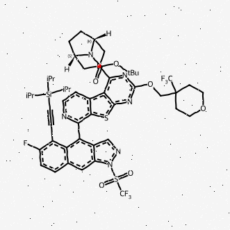 CC(C)[Si](C#Cc1c(F)ccc2cc3c(cnn3S(=O)(=O)C(F)(F)F)c(-c3nccc4c3sc3nc(OCC5(C(F)(F)F)CCOCC5)nc(N5C[C@H]6CC[C@@H](C5)N6C(=O)OC(C)(C)C)c34)c12)(C(C)C)C(C)C